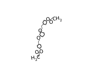 C=CC(=O)Oc1ccc(CCOc2cccc(OCCc3ccc(OC(=O)C=C)cc3)c2)cc1